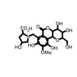 COc1c(O)c(CN2CC(O)CC2C(=O)O)c2c(c1O)C1OC(CO)C(O)C(O)C1OC2=O